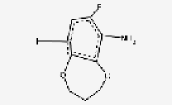 Nc1c(F)cc(I)c2c1OCCCO2